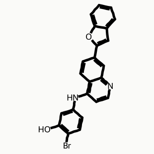 Oc1cc(Nc2ccnc3cc(-c4cc5ccccc5o4)ccc23)ccc1Br